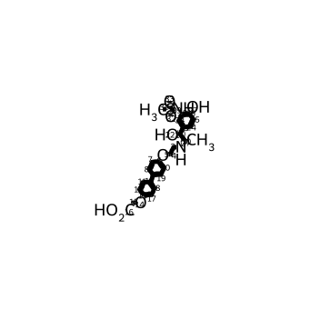 C[C@H](NCCOc1ccc(-c2ccc(OCC(=O)O)cc2)cc1)[C@H](O)c1ccc(O)c(NS(C)(=O)=O)c1